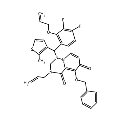 C=CCOc1c(C(c2ccsc2C)N2CN(CC=C)C(=O)c3c(OCc4ccccc4)c(=O)ccn32)ccc(F)c1F